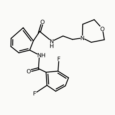 O=C(NCCN1CCOCC1)c1ccccc1NC(=O)c1c(F)cccc1F